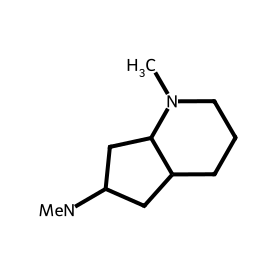 CNC1CC2CCCN(C)C2C1